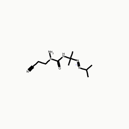 CC(C)/N=N/C(C)(C)NC(=O)N(N)CCC#N